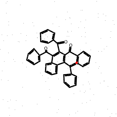 O=C(c1ccccc1)c1c(C(=O)c2ccccc2)c(C(=O)c2ccccc2)c2ccccc2c1C(=O)c1ccccc1